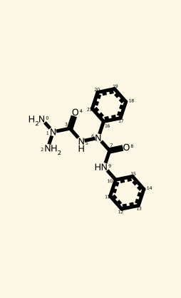 NN(N)C(=O)NN(C(=O)Nc1ccccc1)c1ccccc1